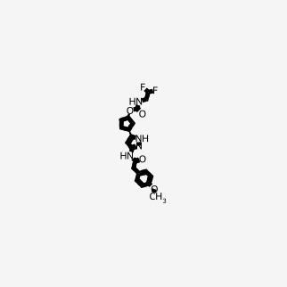 COc1ccc(CC(=O)Nc2cc([C@H]3CC[C@@H](OC(=O)NCC(F)F)C3)[nH]n2)cc1